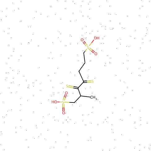 CC(CS(=O)(=O)O)C(=S)C(=S)CCCS(=O)(=O)O